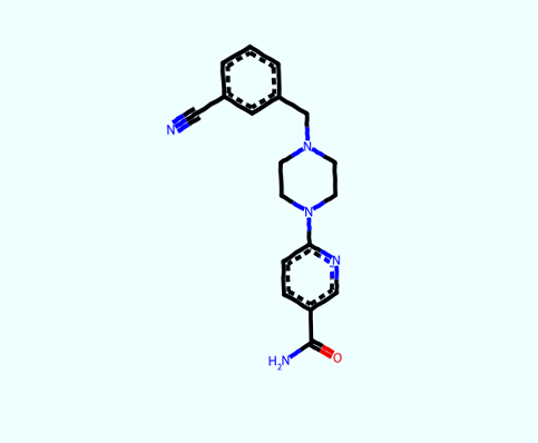 N#Cc1cccc(CN2CCN(c3ccc(C(N)=O)cn3)CC2)c1